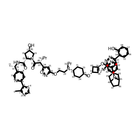 Cc1ncsc1-c1ccc([C@H](C)NC(=O)[C@@H]2C[C@@H](O)CN2C(=O)[C@@H](c2cc(OCCN(C(C)C)[C@H]3CC[C@H](O[C@H]4C[C@H](Oc5cc(N6C7CCC6CN(c6cc(-c8ccccc8O)nnc6N)C7)ccn5)C4)CC3)no2)C(C)C)cn1